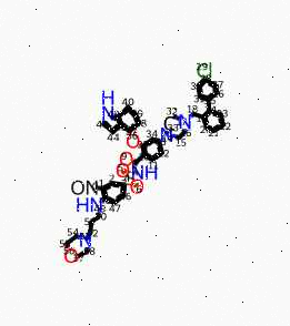 O=Nc1cc(S(=O)(=O)NC(=O)c2ccc(N3CCN(Cc4ccccc4-c4ccc(Cl)cc4)CC3)cc2Oc2cccc3[nH]ccc23)ccc1NCCCN1CCOCC1